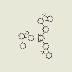 CC1(C)c2ccccc2-c2ccc(-c3nc(-c4cccc(-c5cccc6c5-c5ccccc5C6(C)C)c4)nc(-c4ccc5c(c4)oc4cccc(-c6ccccc6)c45)n3)cc21